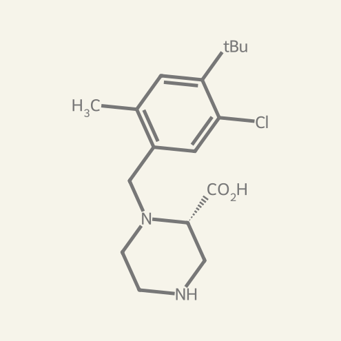 Cc1cc(C(C)(C)C)c(Cl)cc1CN1CCNC[C@H]1C(=O)O